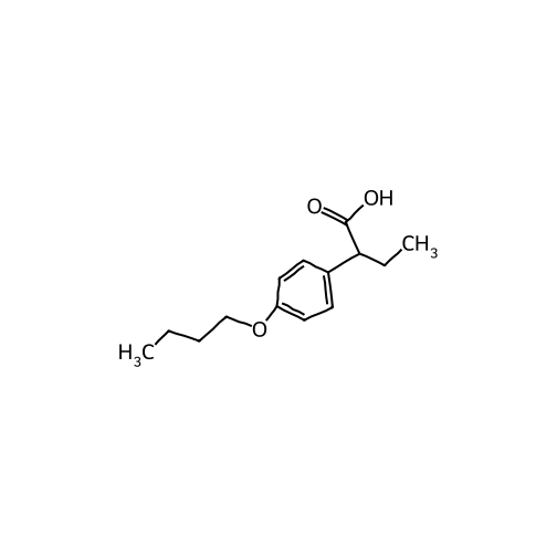 CCCCOc1ccc(C(CC)C(=O)O)cc1